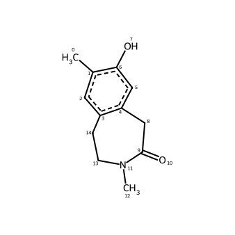 Cc1cc2c(cc1O)CC(=O)N(C)CC2